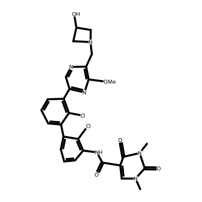 COc1nc(-c2cccc(-c3cccc(NC(=O)c4cn(C)c(=O)n(C)c4=O)c3Cl)c2Cl)cnc1CN1CC(O)C1